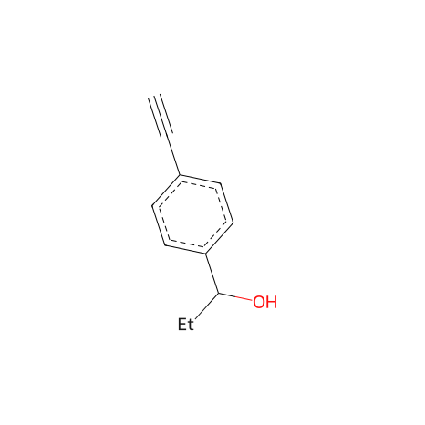 C#Cc1ccc(C(O)CC)cc1